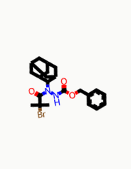 CC(C)(Br)C(=O)N(NC(=O)OCc1ccccc1)C1C2CC3CC(C2)CC1C3